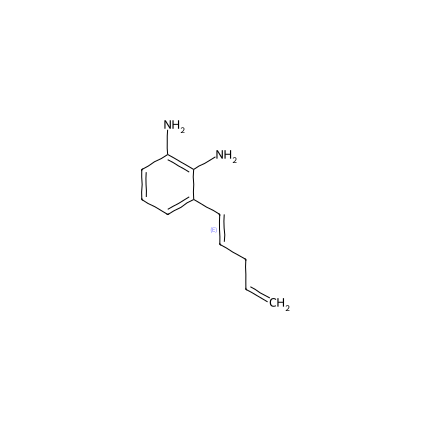 C=CC/C=C/c1cccc(N)c1N